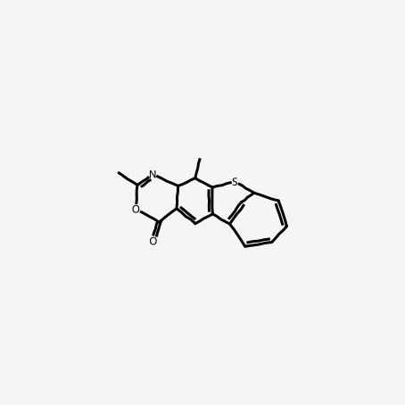 CC1=NC2C(=CC3=C(SC4C=CC=CC3=C4)C2C)C(=O)O1